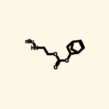 CCCCNCCOC(=O)OC1CC2C=CC1C2